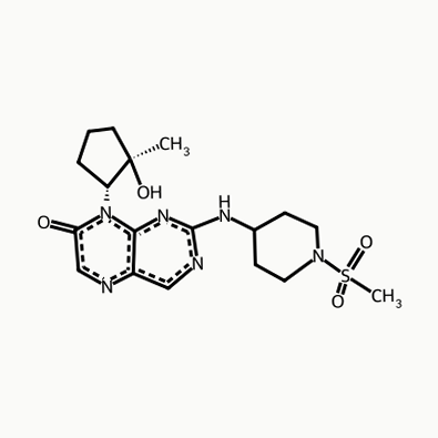 C[C@@]1(O)CCC[C@H]1n1c(=O)cnc2cnc(NC3CCN(S(C)(=O)=O)CC3)nc21